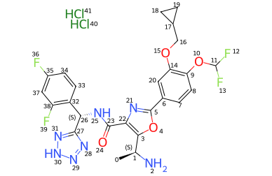 C[C@H](N)c1oc(-c2ccc(OC(F)F)c(OCC3CC3)c2)nc1C(=O)N[C@H](c1nn[nH]n1)c1ccc(F)cc1F.Cl.Cl